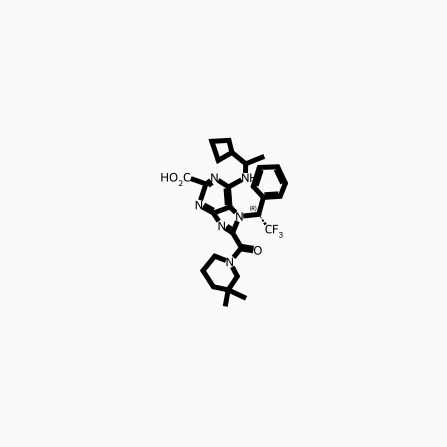 CC(Nc1nc(C(=O)O)nc2nc(C(=O)N3CCCC(C)(C)C3)n([C@H](c3ccccc3)C(F)(F)F)c12)C1CCC1